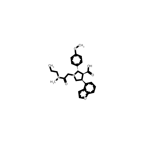 CCCN(C)C(=O)CN1C[C@H](c2cccc3occc23)[C@H](C(=O)O)[C@H]1c1ccc(OC)cc1